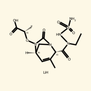 CCN(NS(N)(=O)=O)C(=O)[C@@H]1C(C)=C[C@@H]2CN1C(=O)N2O[C@@H](F)C(=O)O.[LiH]